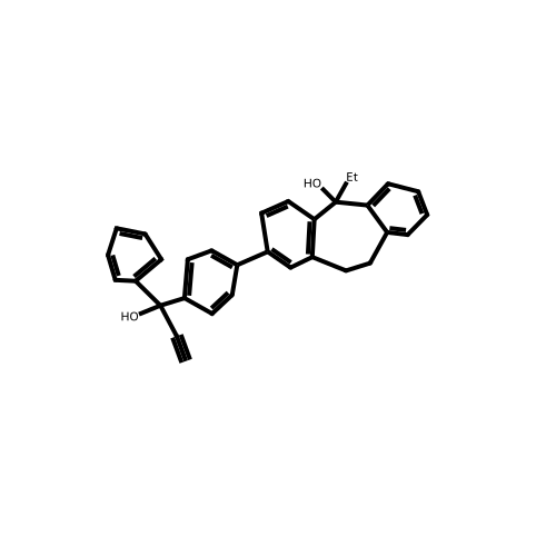 C#CC(O)(c1ccccc1)c1ccc(-c2ccc3c(c2)CCc2ccccc2C3(O)CC)cc1